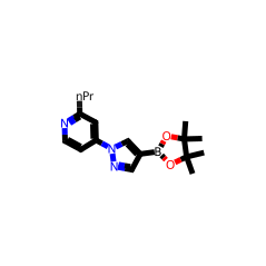 CCCc1cc(-n2cc(B3OC(C)(C)C(C)(C)O3)cn2)ccn1